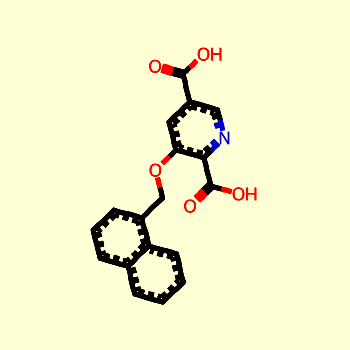 O=C(O)c1cnc(C(=O)O)c(OCc2cccc3ccccc23)c1